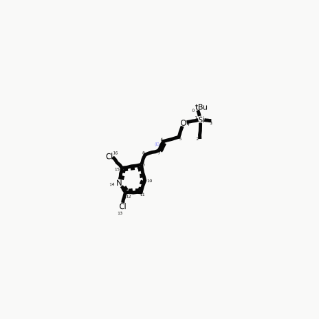 CC(C)(C)[Si](C)(C)OC/C=C/Cc1ccc(Cl)nc1Cl